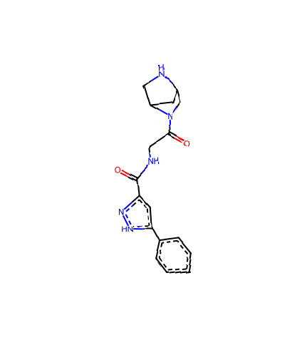 O=C(NCC(=O)N1CC2CC1CN2)c1cc(-c2ccccc2)[nH]n1